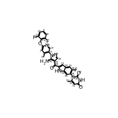 Cc1cc(Oc2c(F)cccc2F)ncc1-n1ncc(C(=O)c2cc3cc(F)c(-n4c(C)cc(=O)[nH]c4=O)cc3[nH]2)c1N